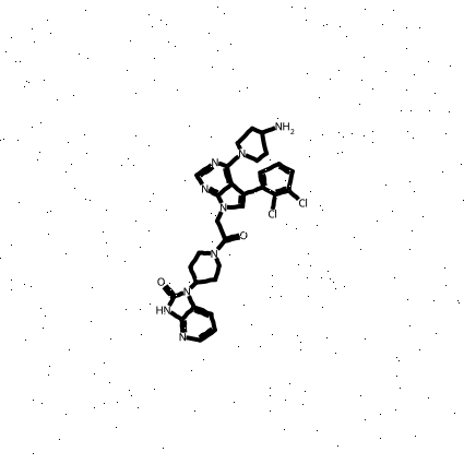 NC1CCN(c2ncnc3c2c(-c2cccc(Cl)c2Cl)cn3CC(=O)N2CCC(n3c(=O)[nH]c4ncccc43)CC2)CC1